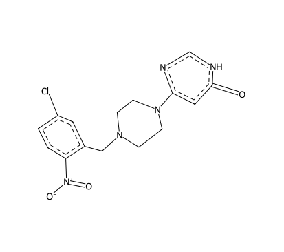 O=c1cc(N2CCN(Cc3cc(Cl)ccc3[N+](=O)[O-])CC2)nc[nH]1